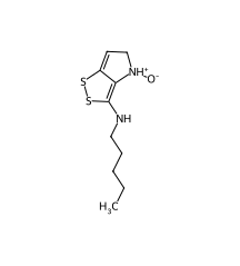 CCCCCNC1=C2C(=CC[NH+]2[O-])SS1